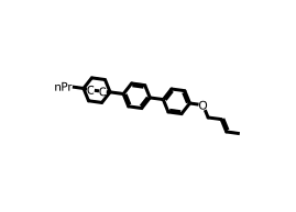 CC=CCOc1ccc(-c2ccc(C34CCC(CCC)(CC3)CC4)cc2)cc1